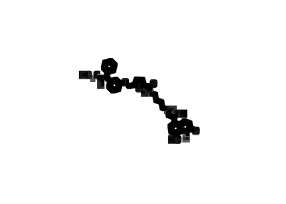 O=C(O)N[C@@H](c1ccccc1)c1cccc(OCc2ccc(C(=O)NCCCCNCC(O)c3ccc(O)c4[nH]c(=O)ccc34)o2)c1